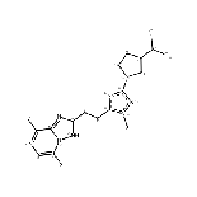 CC1=CN=C(C)C2=NC(CCc3nc(N4CCC(C(F)F)C4)nn3C)NN12